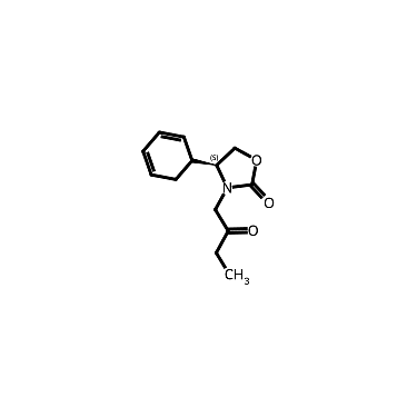 CCC(=O)CN1C(=O)OC[C@@H]1C1C=CC=CC1